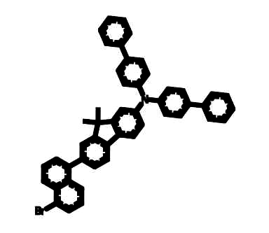 CC1(C)c2cc(-c3cccc4c(Br)cccc34)ccc2-c2ccc(N(c3ccc(-c4ccccc4)cc3)c3ccc(-c4ccccc4)cc3)cc21